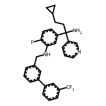 NC(CCC1CC1)(c1cccnc1)c1ccc(F)c(NCc2cccc(-c3cccc(C(F)(F)F)c3)c2)c1